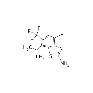 CC(C)c1c(C(F)(F)F)cc(F)c2nc(N)sc12